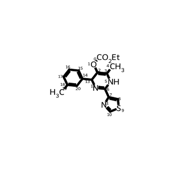 CCOC(=O)OC1=C(C)NC(c2cscn2)=NC1c1cccc(C)c1